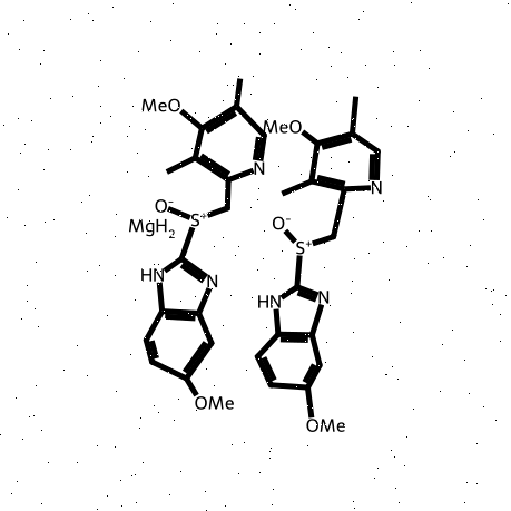 COc1ccc2[nH]c([S+]([O-])Cc3ncc(C)c(OC)c3C)nc2c1.COc1ccc2[nH]c([S+]([O-])Cc3ncc(C)c(OC)c3C)nc2c1.[MgH2]